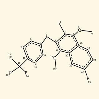 COc1c(C)c(Cc2ccc(C(F)(F)F)nc2)c(OC)c2cc(F)ccc12